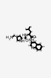 CC(C)CC(NC(=O)[C@H]1C[C@H](CN)CN1)C(=O)Nc1cnc2ccccc2c1